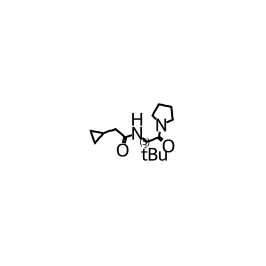 CC(C)(C)[C@H](NC(=O)CC1CC1)C(=O)N1CCCC1